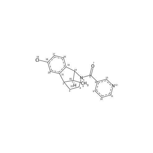 C[C@H]1C2CCN(C(=O)c3cccnc3)C1c1ccc(Cl)cc12